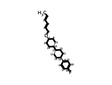 CC=CC=CCO[C@H]1CC[C@H]([C@H]2CC[C@H](c3ccc(F)cc3)CC2)CC1